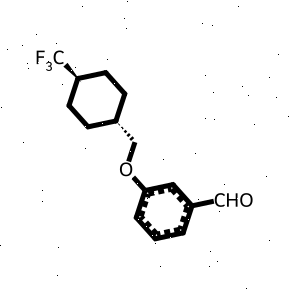 O=Cc1cccc(OC[C@H]2CC[C@H](C(F)(F)F)CC2)c1